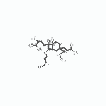 COCCO[C@@H]1C2CC(CCC(C)C)(C(=O)OC)CC[C@]2(C)[C@]1(C)CCC(C)C(C)C